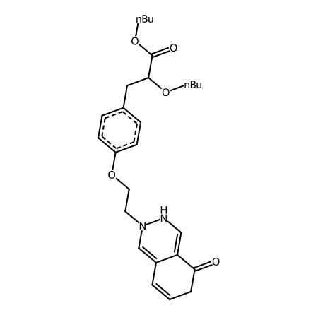 CCCCOC(=O)C(Cc1ccc(OCCN2C=C3C=CCC(=O)C3=CN2)cc1)OCCCC